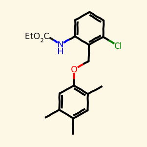 CCOC(=O)Nc1cccc(Cl)c1COc1cc(C)c(C)cc1C